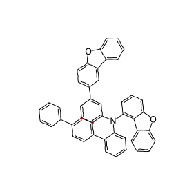 c1ccc(-c2ccc(-c3ccccc3N(c3cccc(-c4ccc5oc6ccccc6c5c4)c3)c3cccc4oc5ccccc5c34)cc2)cc1